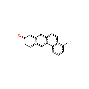 CCc1cccc2c1ccc1cc3c(cc12)=CCC(=O)C=3